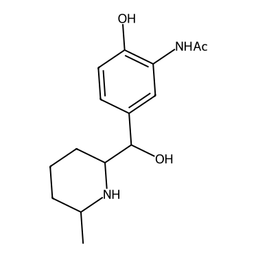 CC(=O)Nc1cc(C(O)C2CCCC(C)N2)ccc1O